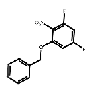 O=[N+]([O-])c1c(F)cc(F)cc1OCc1ccccc1